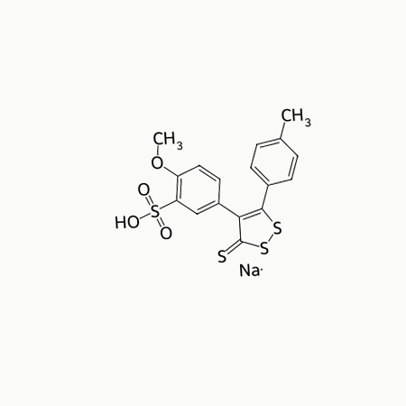 COc1ccc(-c2c(-c3ccc(C)cc3)ssc2=S)cc1S(=O)(=O)O.[Na]